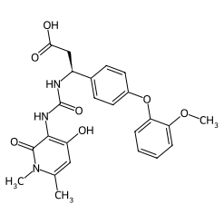 COc1ccccc1Oc1ccc([C@H](CC(=O)O)NC(=O)Nc2c(O)cc(C)n(C)c2=O)cc1